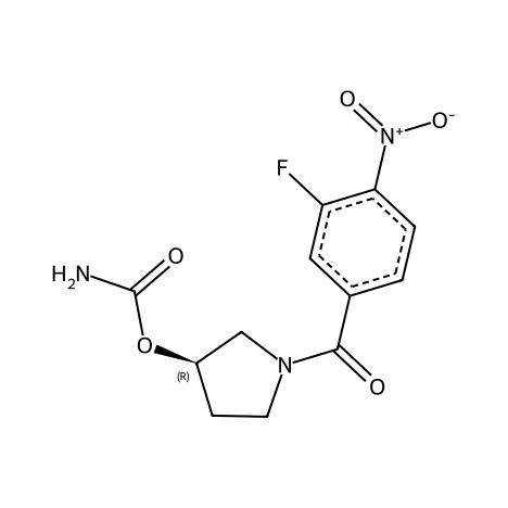 NC(=O)O[C@@H]1CCN(C(=O)c2ccc([N+](=O)[O-])c(F)c2)C1